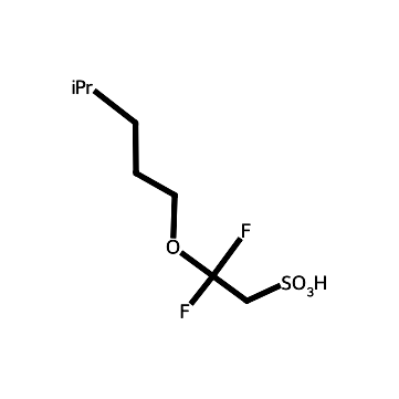 CC(C)CCCOC(F)(F)CS(=O)(=O)O